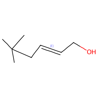 CC(C)(C)C/C=C/CO